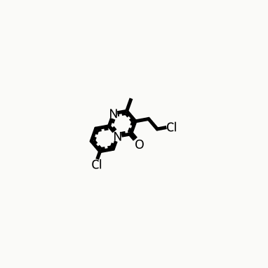 Cc1nc2ccc(Cl)cn2c(=O)c1CCCl